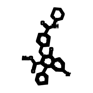 COC(=O)c1c(-c2ccccc2)c2cc(Br)ccc2c(=O)n1Cc1ccc(C(=O)NN2CCCCC2)cc1